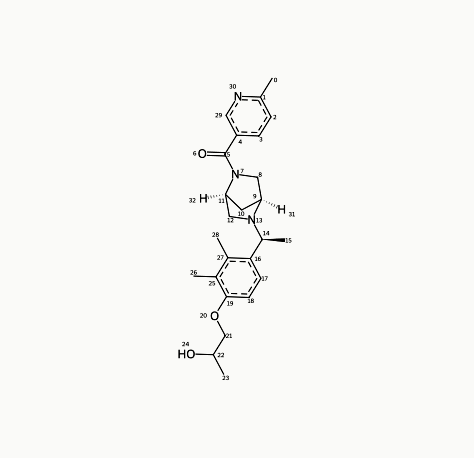 Cc1ccc(C(=O)N2C[C@@H]3C[C@H]2CN3[C@@H](C)c2ccc(OCC(C)O)c(C)c2C)cn1